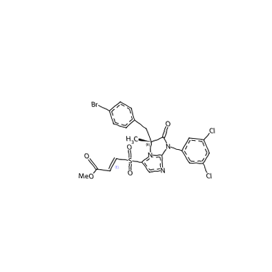 COC(=O)/C=C/S(=O)(=O)c1cnc2n1[C@](C)(Cc1ccc(Br)cc1)C(=O)N2c1cc(Cl)cc(Cl)c1